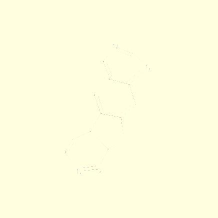 c1cc2c(cn1)sc1cc3ncncc3cc12